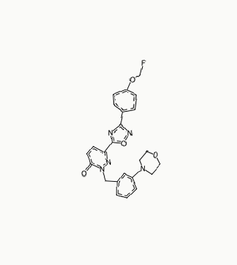 O=c1ccc(-c2nc(-c3ccc(OCF)cc3)no2)nn1Cc1cccc(N2CCOCC2)c1